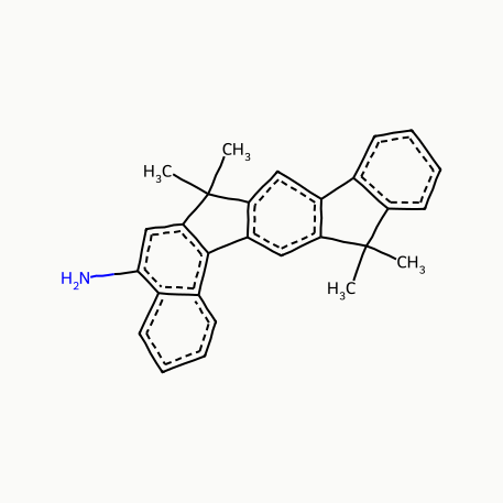 CC1(C)c2ccccc2-c2cc3c(cc21)-c1c(cc(N)c2ccccc12)C3(C)C